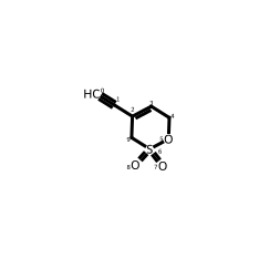 C#CC1=CCOS(=O)(=O)C1